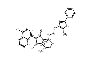 Cc1sc(-c2ccncc2)nc1OCCC12CCC(C)(O1)C1C(=O)N(c3ccc(C#N)c4ccccc34)C(=O)C12